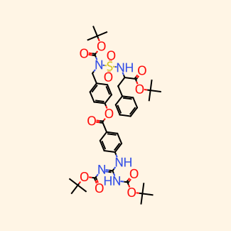 CC(C)(C)OC(=O)N=C(NC(=O)OC(C)(C)C)Nc1ccc(C(=O)Oc2ccc(CN(C(=O)OC(C)(C)C)S(=O)(=O)NC(Cc3ccccc3)C(=O)OC(C)(C)C)cc2)cc1